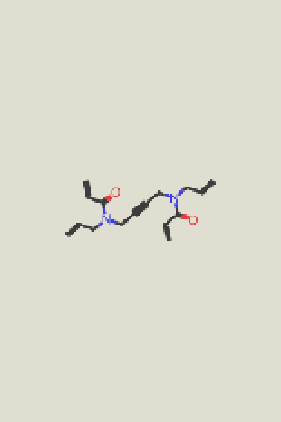 C=CCN(CC#CCN(CC=C)C(=O)C=C)C(=O)C=C